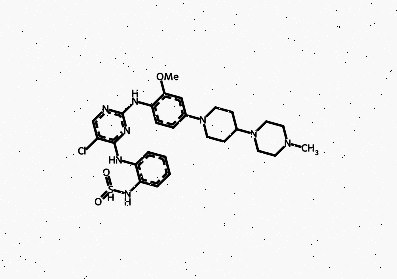 COc1cc(N2CCC(N3CCN(C)CC3)CC2)ccc1Nc1ncc(Cl)c(Nc2ccccc2N[SH](=O)=O)n1